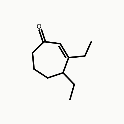 CCC1=CC(=O)CCCC1CC